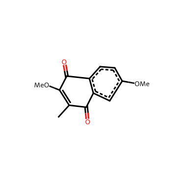 COC1=C(C)C(=O)c2cc(OC)ccc2C1=O